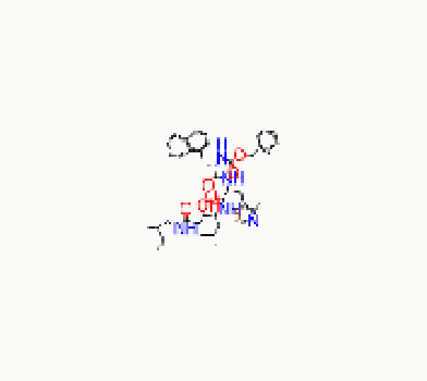 CCC(C)CNC(=O)CC(O)C(CC(C)C)NC(=O)[C@H](Cc1scnc1C)NC(=O)[C@H](Cc1cccc2ccccc12)NC(=O)OCc1ccccc1